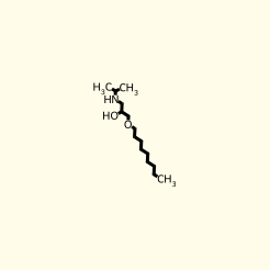 CCCCCCCCCOCC(O)CNC(C)C